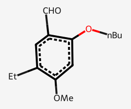 CCCCOc1cc(OC)c(CC)cc1C=O